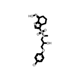 CN(CC(O)COc1ccc(Cl)cc1)S(=O)(=O)c1csc2c1CCC/C2=N/O